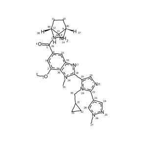 COc1cc(C(=O)N2C[C@H]3CC[C@@H]2[C@@H]3N)cc2nc(-c3cnc(-c4cnn(C)c4)n3CC3CC3)n(C)c12